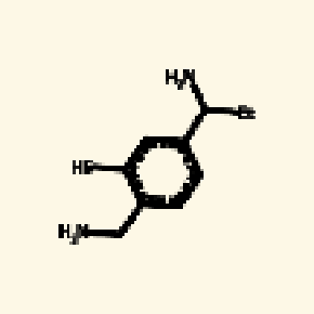 CCC(N)c1ccc(CN)c(S)c1